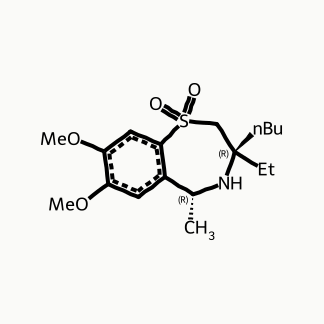 CCCC[C@]1(CC)CS(=O)(=O)c2cc(OC)c(OC)cc2[C@@H](C)N1